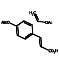 C=COC(C)=O.COc1ccc(C=CC(=O)O)cc1